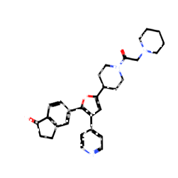 O=C1CCc2cc(-c3oc(C4CCN(C(=O)CN5CCCCC5)CC4)cc3-c3ccncc3)ccc21